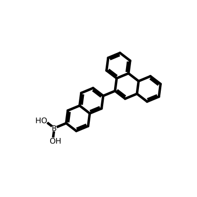 OB(O)c1ccc2cc(C3=CC4C=CC=CC4c4ccccc43)ccc2c1